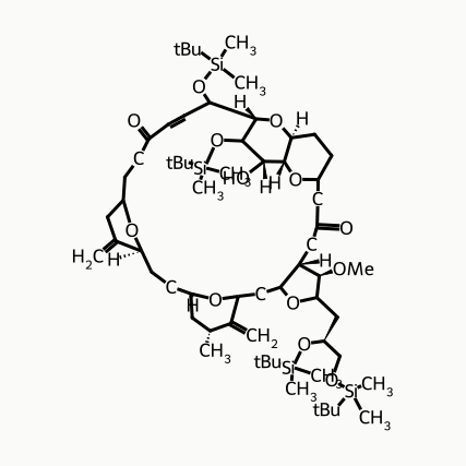 C=C1C2CC3OC(C[C@@H](CO[Si](C)(C)C(C)(C)C)O[Si](C)(C)C(C)(C)C)[C@H](OC)[C@H]3CC(=O)CC3CC[C@@H]4O[C@@H](C(O[Si](C)(C)C(C)(C)C)/C=C/C(=O)CCC5CC(=C)[C@H](CC[C@@H](C[C@H]1C)O2)O5)C(O[Si](C)(C)C(C)(C)C)[C@@H](O)[C@H]4O3